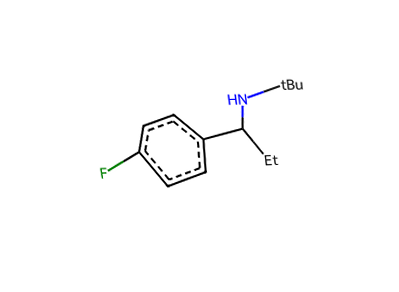 CCC(NC(C)(C)C)c1ccc(F)cc1